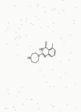 Cc1cccc2nc(N3CCCNCC3)[nH]c(=O)c12